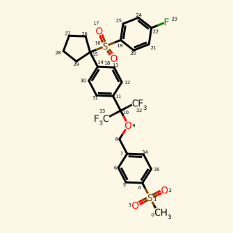 CS(=O)(=O)c1ccc(COC(c2ccc(C3(S(=O)(=O)c4ccc(F)cc4)CCCC3)cc2)(C(F)(F)F)C(F)(F)F)cc1